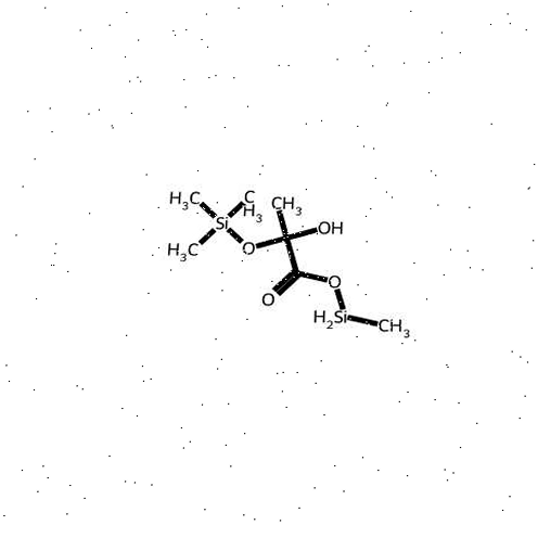 C[SiH2]OC(=O)C(C)(O)O[Si](C)(C)C